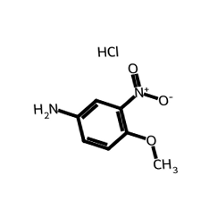 COc1ccc(N)cc1[N+](=O)[O-].Cl